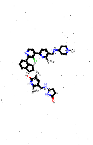 COc1nc(-c2ccnc(-c3cccc4c3CC[C@@H]4Oc3nc(OC)c(CN[C@@H]4CCC(=O)N4)cc3C(F)(F)F)c2Cl)ccc1CNC1CCN(C(C)=O)CC1